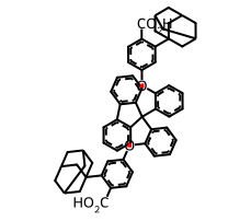 O=C(O)c1ccc(Oc2ccccc2C2(c3ccccc3Oc3ccc(C(=O)O)c(C45CC6CC(CC(C6)C4)C5)c3)c3ccccc3-c3ccccc32)cc1C12CC3CC(CC(C3)C1)C2